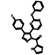 O=C(c1ccc[nH]1)n1nnc(-c2ccc(F)cc2)c1-c1ccnc(Oc2ccccc2)n1